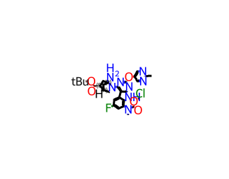 Cc1ncc(Oc2nc(N3C[C@@H]4C[C@]3(N)C[C@@H]4C(=O)OC(C)(C)C)c3c(n2)[nH]c2c(N(C)C(=O)OCCl)cc(F)cc23)cn1